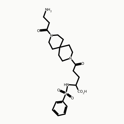 NCCC(=O)N1CCC2(CC1)CCN(C(=O)CCC(NS(=O)(=O)c1ccccc1)C(=O)O)CC2